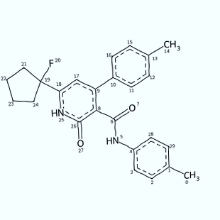 Cc1ccc(NC(=O)c2c(-c3ccc(C)cc3)cc(C3(F)CCCC3)[nH]c2=O)cc1